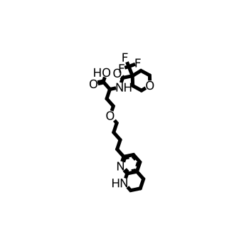 O=C(O)C(CCOCCCCc1ccc2c(n1)NCCC2)NC(=O)C1(C(F)(F)F)CCOCC1